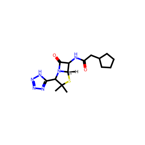 CC1(C)S[C@H]2C(NC(=O)CC3CCCC3)C(=O)N2C1c1nnn[nH]1